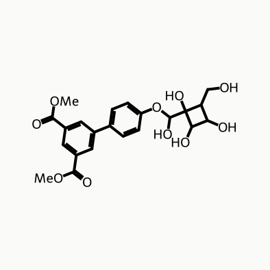 COC(=O)c1cc(C(=O)OC)cc(-c2ccc(OC(O)C3(O)C(O)C(O)C3CO)cc2)c1